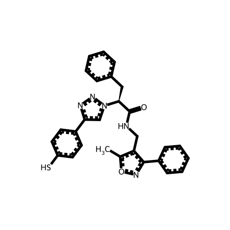 Cc1onc(-c2ccccc2)c1CNC(=O)[C@H](Cc1ccccc1)n1cc(-c2ccc(S)cc2)nn1